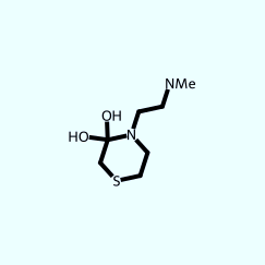 CNCCN1CCSCC1(O)O